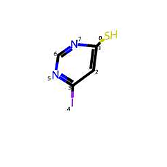 Sc1cc(I)ncn1